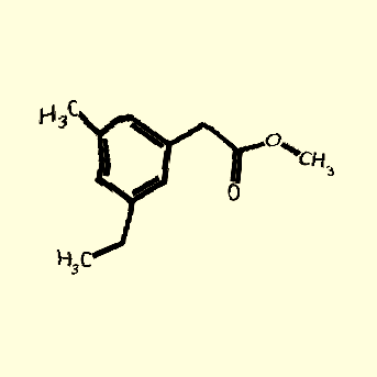 CCc1cc(C)cc(CC(=O)OC)c1